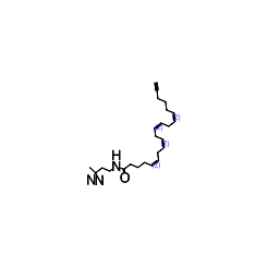 C#CCCC/C=C\C/C=C\C/C=C\C/C=C\CCCC(=O)NCCC1(C)N=N1